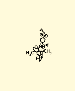 COc1nc(C(F)(F)F)cc(C(C)C)c1C(=O)NC[C@]1(CC2CC2)CC[C@H](S(=O)(=O)CC2CC2)CC1